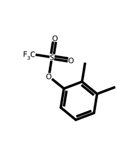 Cc1cccc(OS(=O)(=O)C(F)(F)F)c1C